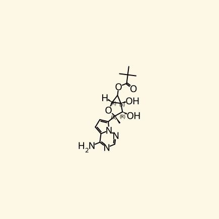 CC(C)(C)C(=O)OC1[C@H]2O[C@@](C)(c3ccc4c(N)ncnn34)[C@H](O)[C@@]12O